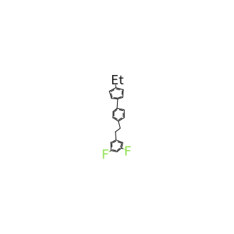 CCc1ccc(-c2ccc(CCc3cc(F)cc(F)c3)cc2)cc1